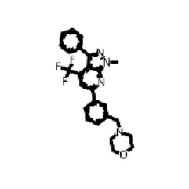 Cn1nc(-c2ccccc2)c2c(C(F)(F)F)cc(-c3cccc(CN4CCOCC4)c3)nc21